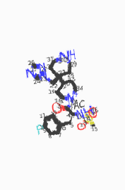 CC(=O)[N+]1(C(=O)[C@H](Cc2ccc(F)cc2)NS(C)(=O)=O)CCC(C2(Cn3cncn3)CCNCC2)CC1